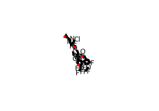 O=C(NCc1ccc(OC(F)(F)F)c(F)c1)[C@H]1CN(c2nc3nc(C4CC4)nc(Cl)c3s2)CCN1S(=O)(=O)c1ccc(OC(F)(F)F)cc1